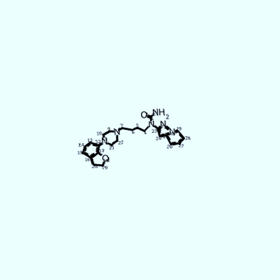 NC(=O)N(CCCCN1CCN(c2cccc3c2OCC3)CC1)c1cc2ccccn2n1